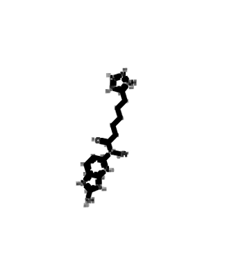 CC(C)N(C(=O)CCCCCc1nnn[nH]1)c1ccc2nc(S)sc2n1